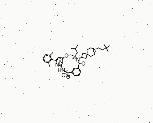 Cc1cccc(C)c1-c1cc2nc(n1)NS(=O)(=O)c1cccc(c1)C(=O)N(C1CC3(CCN(CCC(C)(C)C)CC3)C1)[C@H](CC(C)C)CO2